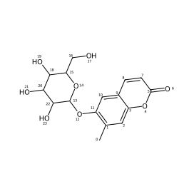 Cc1cc2oc(=O)ccc2cc1OC1OC(CO)C(O)C(O)C1O